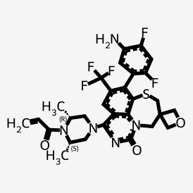 C=CC(=O)N1[C@H](C)CN(c2nc(=O)n3c4c(c(-c5cc(N)c(F)cc5F)c(C(F)(F)F)cc24)SCC2(COC2)C3)C[C@@H]1C